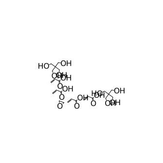 C1CO1.C=CC(=O)O.C=CC(=O)O.C=CC(=O)O.C=CC(=O)O.OCC(CO)(CO)CO.OCC(CO)(CO)CO